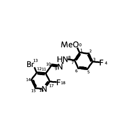 COc1cc(F)ccc1NN=Cc1c(Br)ccnc1F